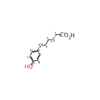 O=C(O)CSCCSc1ccc(O)cc1